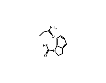 CCC(N)=O.O=C(S)N1CCc2ccccc21